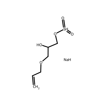 C=CCOCC(O)CO[SH](=O)=O.[NaH]